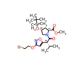 COC(=O)[C@@H]1C[C@@H](O[Si](C)(C)C(C)(C)C)CN1C(=O)[C@@H](c1cc(OCCBr)no1)C(C)C